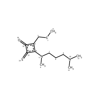 CSCc1c(N(C)CCCN(C)C)c(=S)c1=O